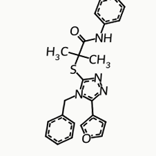 CC(C)(Sc1nnc(-c2ccoc2)n1Cc1ccccc1)C(=O)Nc1ccccc1